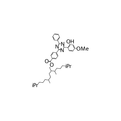 COc1ccc(-c2nc(-c3ccccc3)nc(-c3ccc(C(=O)OCC(CCC(C)CCCC(C)C)C(C)CCCC(C)C)cc3)n2)c(O)c1